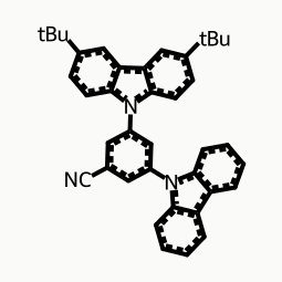 CC(C)(C)c1ccc2c(c1)c1cc(C(C)(C)C)ccc1n2-c1cc(C#N)cc(-n2c3ccccc3c3ccccc32)c1